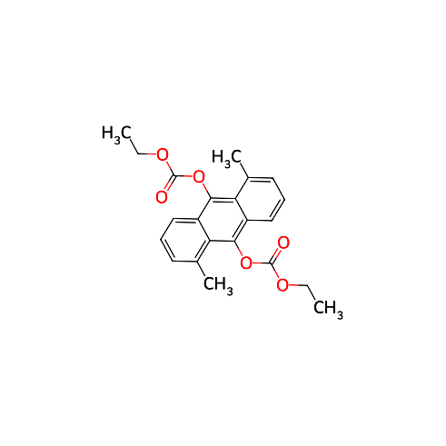 CCOC(=O)Oc1c2cccc(C)c2c(OC(=O)OCC)c2cccc(C)c12